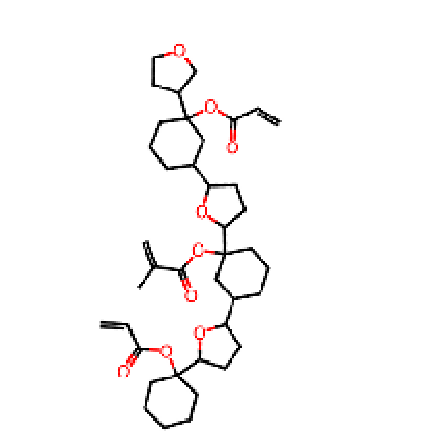 C=CC(=O)OC1(C2CCOC2)CCCC(C2CCC(C3(OC(=O)C(=C)C)CCCC(C4CCC(C5(OC(=O)C=C)CCCCC5)O4)C3)O2)C1